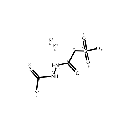 O=C(CS(=O)(=O)[O-])NNC(=S)[S-].[K+].[K+]